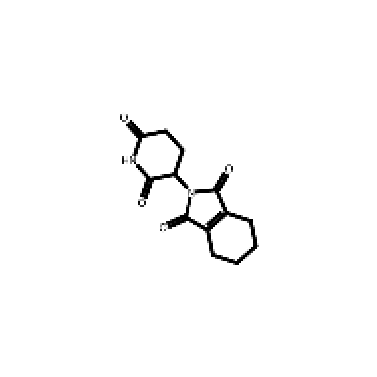 O=C1CCC(N2C(=O)C3=C(CCCC3)C2=O)C(=O)N1